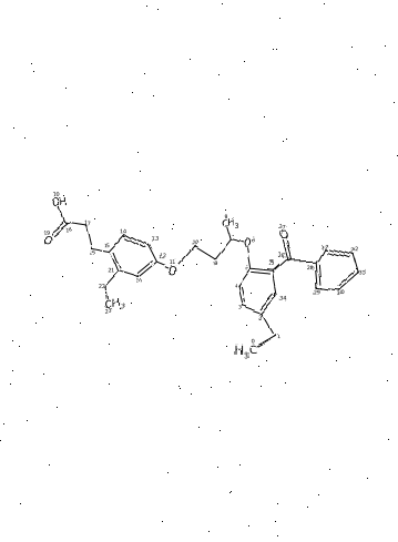 CCc1ccc(OC(C)CCOc2ccc(CCC(=O)O)c(CC)c2)c(C(=O)c2ccccc2)c1